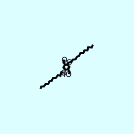 CCCCCCCCCCCCOc1cc(CO)c(OCCCCCCCCCCCC)cc1C=O